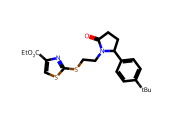 CCOC(=O)c1csc(SCCN2C(=O)CCC2c2ccc(C(C)(C)C)cc2)n1